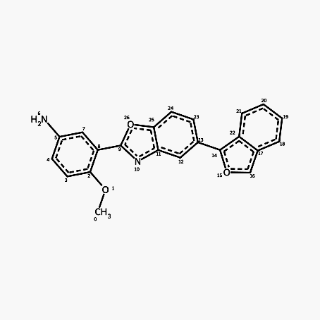 COc1ccc(N)cc1-c1nc2cc(-c3occ4ccccc34)ccc2o1